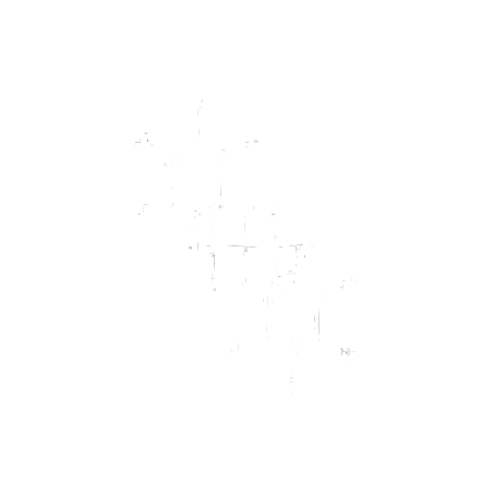 Nc1c(F)c(F)c(OC(Oc2c(F)c(F)c(N)c(F)c2F)(C(F)(F)F)C(F)(F)F)c(F)c1F